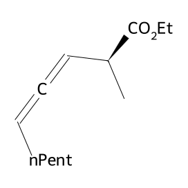 CCCCCC=C=C[C@H](C)C(=O)OCC